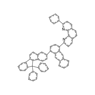 c1ccc(-c2ccc3ccc4ccc(-c5ccc(-c6ccc7c8c(ccc7c6)-c6ccccc6C8(c6ccccc6)c6ccccc6)c6cc7ccccc7cc56)nc4c3n2)cc1